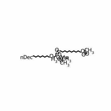 CCCCCCCCCCCCCCCCCCOCC(CS(=O)(=O)CCCCCCCCCCOS(C)(=O)=O)OC.CN(C)C